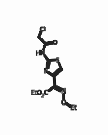 CCON=C(C(=O)OCC)c1csc(NC(=O)CCl)n1